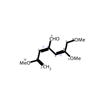 C=C(/C=C(C=O)\C=C(/COC)OC)OC